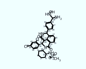 CS(=O)(=O)N[C@H]1CCCC[C@@H]1N1C(=O)c2cccc3c2[C@@H](C(=O)NC3c2ccc(C(N)NO)cc2)[C@@H]1c1ccc(Cl)cc1Cl